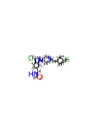 CC(=O)NCc1ccc2c(Cl)cn(C3CCN(CCc4ccc(F)cc4)CC3)c2c1